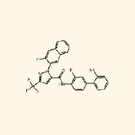 O=C(Nc1ccc(-c2ccccc2S)cc1F)c1cc(C(F)(F)F)nn1-c1cc2ccccc2cc1F